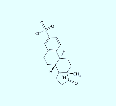 C[C@]12CC[C@@H]3c4ccc(S(=O)(=O)Cl)cc4CC[C@H]3[C@@H]1CCC2=O